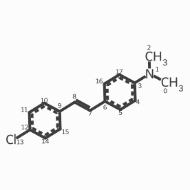 CN(C)c1ccc(/C=C/c2ccc(Cl)cc2)cc1